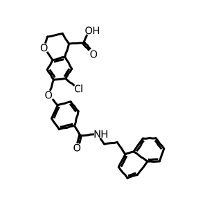 O=C(NCCc1cccc2ccccc12)c1ccc(Oc2cc3c(cc2Cl)C(C(=O)O)CCO3)cc1